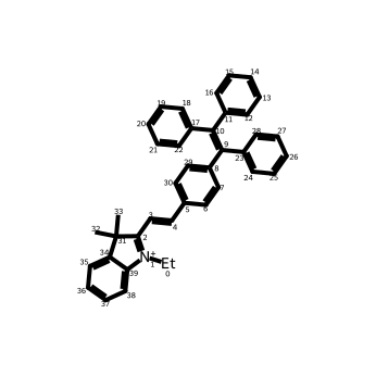 CC[N+]1=C(/C=C/c2ccc(C(=C(c3ccccc3)c3ccccc3)c3ccccc3)cc2)C(C)(C)c2ccccc21